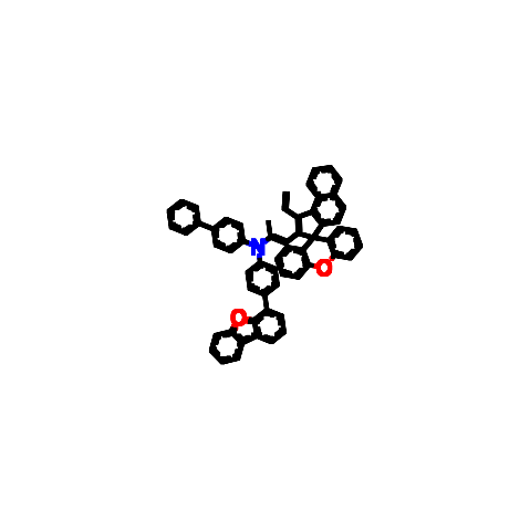 C=CC1=C(/C=C(\C)N(c2ccc(-c3ccccc3)cc2)c2ccc(-c3cccc4c3oc3ccccc34)cc2)C2(c3ccccc3Oc3ccccc32)c2ccc3ccccc3c21